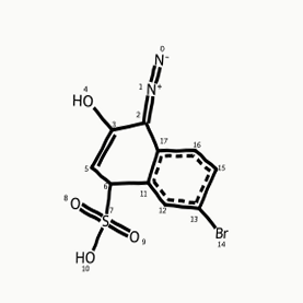 [N-]=[N+]=C1C(O)=CC(S(=O)(=O)O)c2cc(Br)ccc21